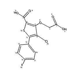 O=C(O)COc1c(C(=O)O)sc(-c2ccc(F)cc2)c1Cl